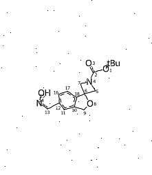 CC(C)(C)OC(=O)N1CC2(C1)OCc1cc(/C=N\O)ccc12